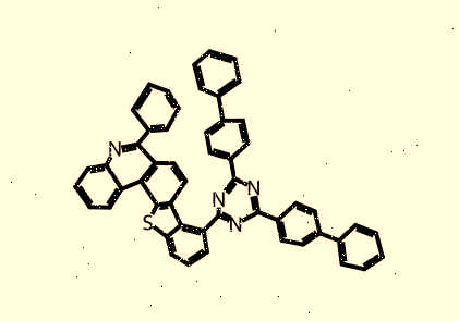 c1ccc(-c2ccc(-c3nc(-c4ccc(-c5ccccc5)cc4)nc(-c4cccc5sc6c(ccc7c(-c8ccccc8)nc8ccccc8c76)c45)n3)cc2)cc1